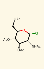 CC(=O)N[C@@H]1[C@@H](OC(C)=O)[C@H](OC(C)=O)[C@@H](COC(C)=O)O[C@H]1Cl